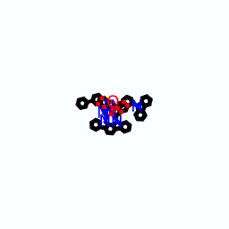 c1ccc(-c2cccc(-c3nc(-c4ccccc4)nc(-n4c5ccccc5c5ccc6c7ccccc7n(-c7cc(-c8cccc(-n9c%10ccccc%10c%10ccccc%109)c8)c8oc9ccccc9c8c7)c6c54)n3)c2)cc1